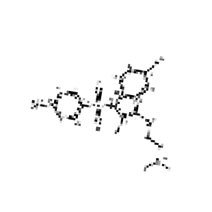 Cc1c(SCCN(C)C)c2cc(F)ccc2n1S(=O)(=O)c1ccc(Br)cc1